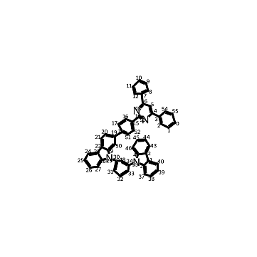 c1ccc(-c2cc(-c3ccccc3)nc(-c3ccc(-c4ccc5c6ccccc6n(-c6cccc(-n7c8ccccc8c8ccccc87)c6)c5c4)cc3)n2)cc1